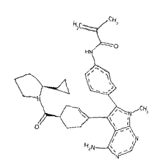 C=C(C)C(=O)Nc1ccc(-c2c(C3=CC[C@H](C(=O)N4CCC[C@H]4C4CC4)CC3)c3c(N)ncnc3n2C)cc1